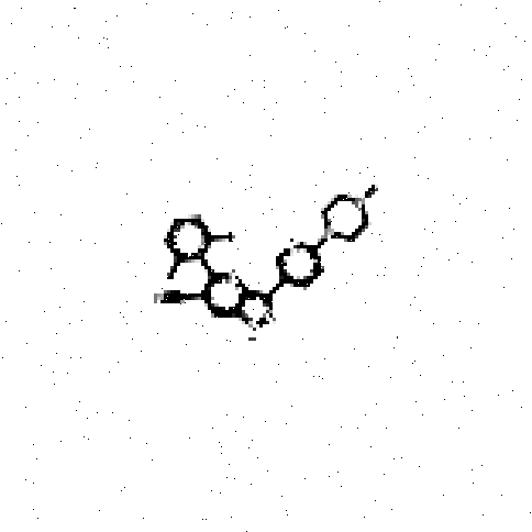 Cc1cccc(F)c1-c1nc2c(-c3ccc(N4CCN(C)CC4)nc3)n[nH]c2cc1C#N